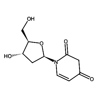 O=C1C=CN([C@H]2C[C@H](O)[C@@H](CO)O2)C(=O)C1